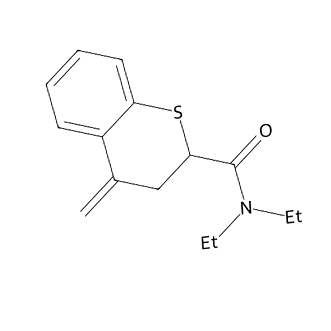 C=C1CC(C(=O)N(CC)CC)Sc2ccccc21